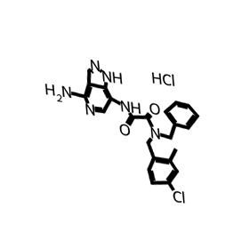 Cc1cc(Cl)ccc1CN(Cc1ccccc1)C(=O)C(=O)Nc1cnc(N)c2cn[nH]c12.Cl